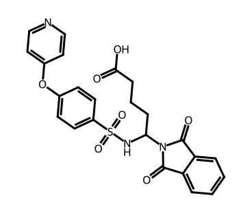 O=C(O)CCCC(NS(=O)(=O)c1ccc(Oc2ccncc2)cc1)N1C(=O)c2ccccc2C1=O